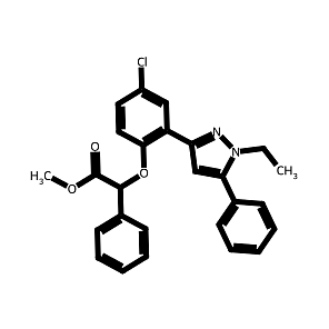 CCn1nc(-c2cc(Cl)ccc2OC(C(=O)OC)c2ccccc2)cc1-c1ccccc1